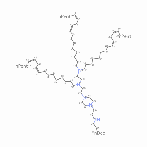 CCCCC/C=C\C/C=C\CCCCCCCCN(CCCCCCCC/C=C\C/C=C\CCCCC)CCN(CCCCCCCC/C=C\C/C=C\CCCCC)CCN1CCN(CCNCCCCCCCCCCCC)CC1